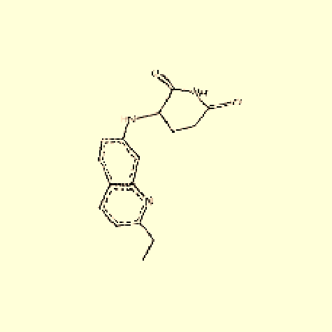 CCc1ccc2ccc(NC3CCC(=O)NC3=O)cc2n1